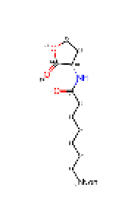 CCCCCCCCCCCCCCCC(=O)N[C@H]1CCOC1=O